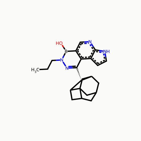 CCCN1N=C([C@@H]2C3CC4CC5CC2C5(C4)C3)c2c(cnc3[nH]ccc23)B1O